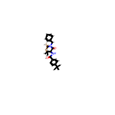 CC(C)(C)c1ccc(C(=O)NC2C(=O)N(Cc3ccccc3)C(=S)SC2(C)C)cc1